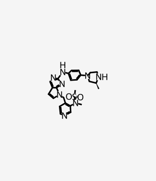 C[C@H]1CN(c2ccc(Nc3ncc4ccn(Cc5ccncc5N(C)S(C)(=O)=O)c4n3)cc2)CCN1